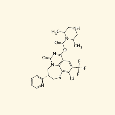 CC1CNCC(C)N1C(=O)Oc1nc(=O)n2c3c(c(Cl)c(C(F)(F)F)cc13)SC[C@H](c1ccccn1)C2